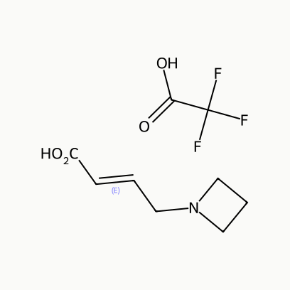 O=C(O)/C=C/CN1CCC1.O=C(O)C(F)(F)F